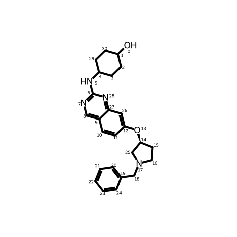 OC1CCC(Nc2ncc3ccc(O[C@H]4CCN(Cc5ccccc5)C4)cc3n2)CC1